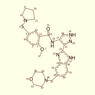 COc1ccc(SN2CCCC2)cc1C(=O)Nc1c[nH]nc1-c1nc2cc(CN3CCOCC3)ccc2[nH]1